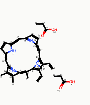 C=Cc1c(C=C)c2c(C)c3nc(cc4ccc(cc5nc(cc1n2C)C=C5)[nH]4)C(C)=C3C.CCC(=O)O.CCC(=O)O